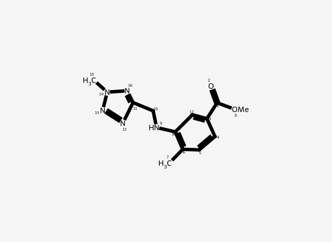 COC(=O)c1ccc(C)c(NCc2nnn(C)n2)c1